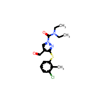 CCN(CC)C(=O)n1cc(C=O)c(Sc2cccc(Cl)c2C)n1